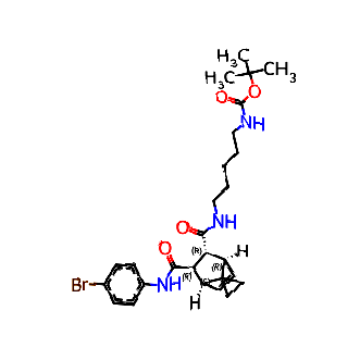 CC(C)(C)OC(=O)NCCCCCNC(=O)[C@H]1[C@H](C(=O)Nc2ccc(Br)cc2)[C@@H]2C=C[C@H]1C21CC1